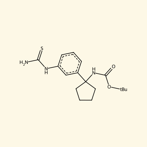 CC(C)(C)OC(=O)NC1(c2cccc(NC(N)=S)c2)CCCC1